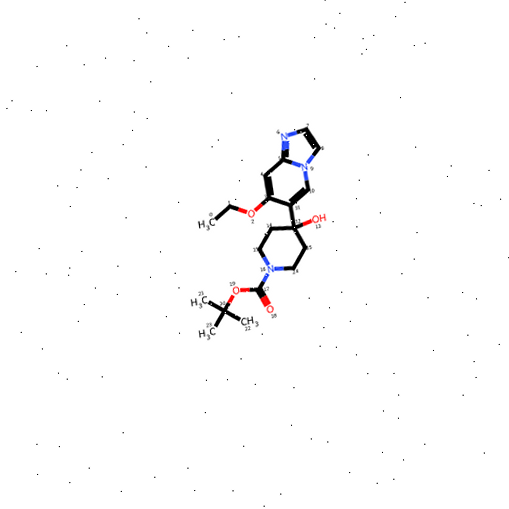 CCOc1cc2nccn2cc1C1(O)CCN(C(=O)OC(C)(C)C)CC1